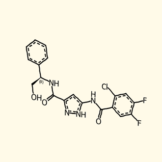 O=C(N[C@@H](CO)c1ccccc1)c1cc(NC(=O)c2cc(F)c(F)cc2Cl)[nH]n1